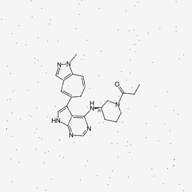 CCC(=O)N1CCC[C@@H](Nc2ncnc3[nH]cc(C4=Cc5cnn(C)c5C=CC4)c23)C1